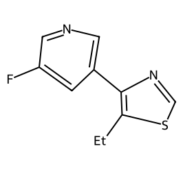 CCc1scnc1-c1cncc(F)c1